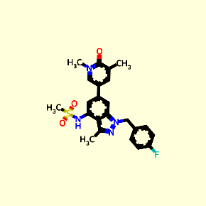 Cc1cc(-c2cc(NS(C)(=O)=O)c3c(C)nn(Cc4ccc(F)cc4)c3c2)cn(C)c1=O